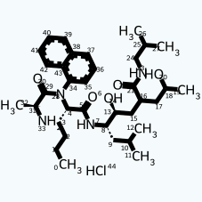 CCCC[C@@H](C(=O)N[C@@H](CC(C)C)[C@@H](O)CC(CC(C)O)C(=O)NCC(C)C)N(C(=O)[C@H](C)N)c1cccc2ccccc12.Cl